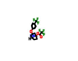 O=C(O[C@]12CC[C@@H](C[C@@H](Oc3ccc(C(F)(F)F)cc3)C1)N2)C(F)(F)F